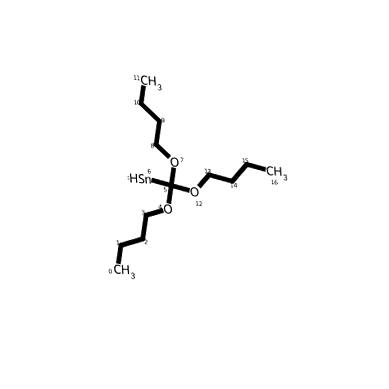 CCCCO[C]([SnH])(OCCCC)OCCCC